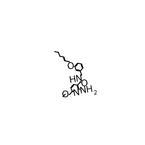 CCC/C=C/COc1cccc(CNC(=O)c2ccc(COC)nc2N)c1